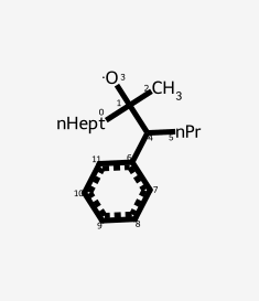 CCCCCCCC(C)([O])C(CCC)c1ccccc1